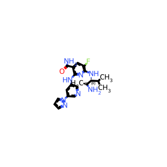 CC(C)[C@@H](Nc1nc(Nc2cncc(-n3cccn3)c2)c(C(N)=O)cc1F)[C@H](C)N